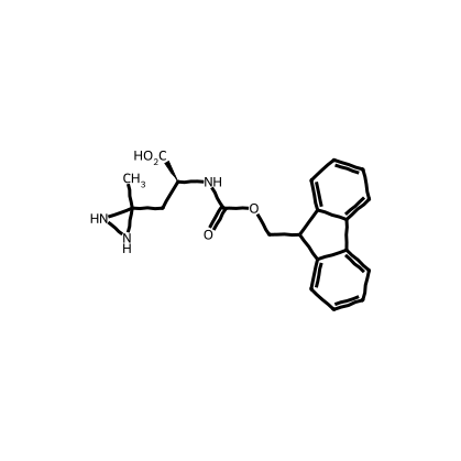 CC1(C[C@H](NC(=O)OCC2c3ccccc3-c3ccccc32)C(=O)O)NN1